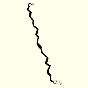 CCC=CCC=CCC=CCC=CCCC=CCO